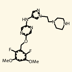 COc1cc(OC)c(F)c(COc2cnc(Nc3cnn(CCN4CCNCC4)c3)cn2)c1F